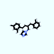 Cc1ccc(CCC(Cc2ccccc2C)Cn2ccnc2)c(C)c1